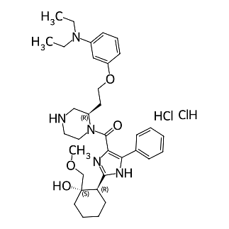 CCN(CC)c1cccc(OCC[C@@H]2CNCCN2C(=O)c2nc([C@H]3CCCC[C@@]3(O)COC)[nH]c2-c2ccccc2)c1.Cl.Cl